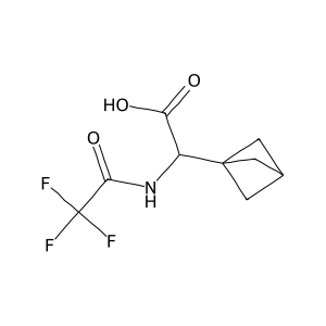 O=C(O)C(NC(=O)C(F)(F)F)C12CC(C1)C2